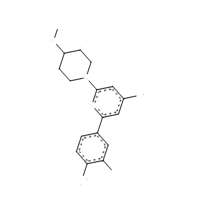 COc1cc(-c2ccc(C#N)c(F)c2)nc(N2CCC(NC(=O)O)CC2)c1